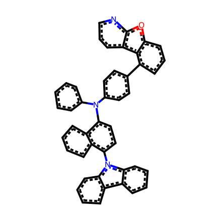 c1ccc(N(c2ccc(-c3cccc4oc5ncccc5c34)cc2)c2ccc(-n3c4ccccc4c4ccccc43)c3ccccc23)cc1